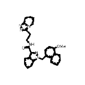 COc1ccc(Cn2nc(C(=O)NCCc3nnc4ccccn34)c3ccccc32)c2ccccc12